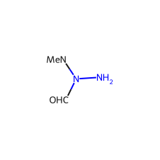 CNN(N)C=O